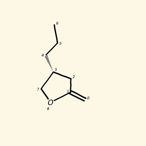 C=C1C[C@@H](CCC)CO1